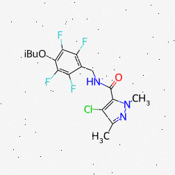 Cc1nn(C)c(C(=O)NCc2c(F)c(F)c(OCC(C)C)c(F)c2F)c1Cl